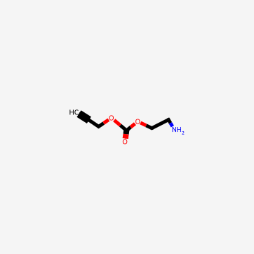 C#CCOC(=O)OCCN